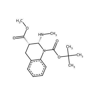 CN[C@H]1[C@@H](C(=O)OC)Cc2ccccc2N1C(=O)OC(C)(C)C